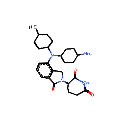 CC1CCC(N(c2cccc3c2CN(C2CCC(=O)NC2=O)C3=O)C2CCC(N)CC2)CC1